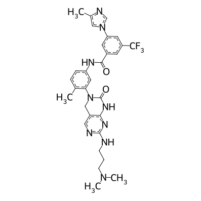 Cc1cn(-c2cc(C(=O)Nc3ccc(C)c(N4Cc5cnc(NCCCN(C)C)nc5NC4=O)c3)cc(C(F)(F)F)c2)cn1